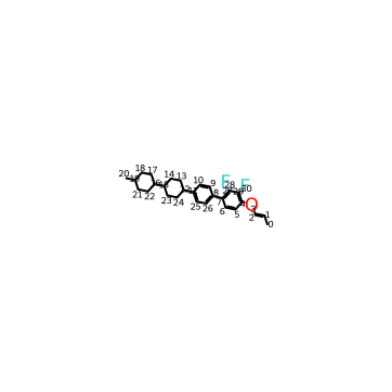 C/C=C/Oc1ccc(-c2ccc(C3CCC(C4CCC(C)CC4)CC3)cc2)c(F)c1F